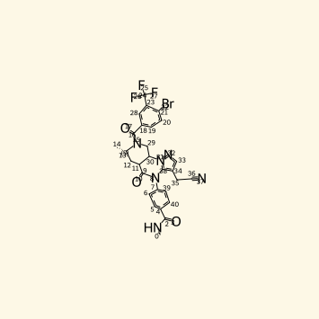 CNC(=O)c1ccc(N2C(=O)C3C[C@H](C)N(C(=O)c4ccc(Br)c(C(F)(F)F)c4)CC3n3ncc(CC#N)c32)cc1